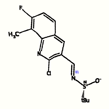 Cc1c(F)ccc2cc(/C=N/[S@+]([O-])C(C)(C)C)c(Cl)nc12